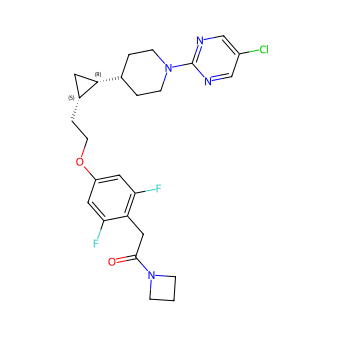 O=C(Cc1c(F)cc(OCC[C@@H]2C[C@@H]2C2CCN(c3ncc(Cl)cn3)CC2)cc1F)N1CCC1